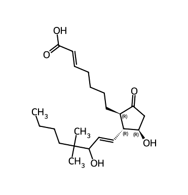 CCCCC(C)(C)C(O)C=C[C@H]1[C@H](O)CC(=O)[C@@H]1CCCCC=CC(=O)O